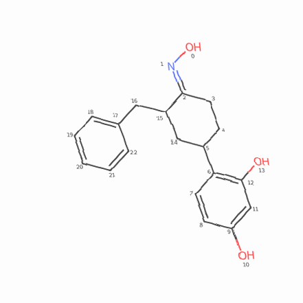 O/N=C1\CCC(c2ccc(O)cc2O)CC1Cc1ccccc1